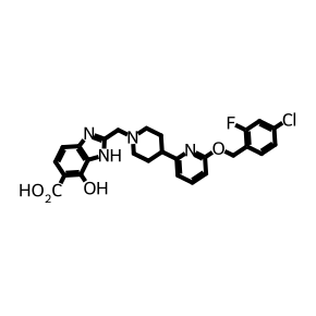 O=C(O)c1ccc2nc(CN3CCC(c4cccc(OCc5ccc(Cl)cc5F)n4)CC3)[nH]c2c1O